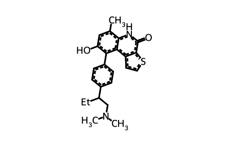 CCC(CN(C)C)c1ccc(-c2c(O)cc(C)c3[nH]c(=O)c4sccc4c23)cc1